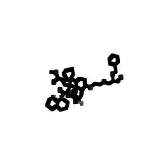 COC(=O)CCC(CCC(N)=O)(OC(=O)N1CCCc2cccnc21)C1(c2ccc(OCCOCC(C=O)OCc3ccccc3)c3ccccc23)C=CC=CC1